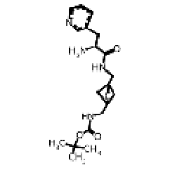 CC(C)(C)OC(=O)NCC12CC(CNC(=O)[C@@H](N)Cc3cccnc3)(C1)C2